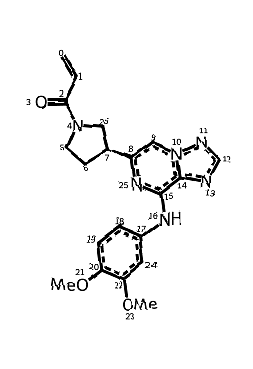 C=CC(=O)N1CC[C@H](c2cn3ncnc3c(Nc3ccc(OC)c(OC)c3)n2)C1